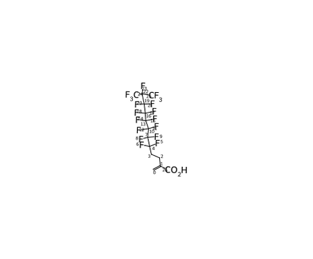 C=C(CCC(F)(F)C(F)(F)C(F)(F)C(F)(F)C(F)(F)C(F)(F)C(F)(C(F)(F)F)C(F)(F)F)C(=O)O